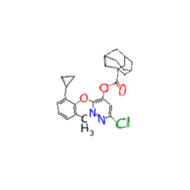 Cc1cccc(C2CC2)c1Oc1nnc(Cl)cc1OC(=O)C12CC3CC(CC(C3)C1)C2